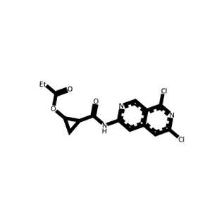 CCC(=O)OC1CC1C(=O)Nc1cc2cc(Cl)nc(Cl)c2cn1